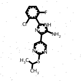 CC(C)Sc1ncc(-c2nc(-c3c(F)cccc3Cl)[nH]c2N)cn1